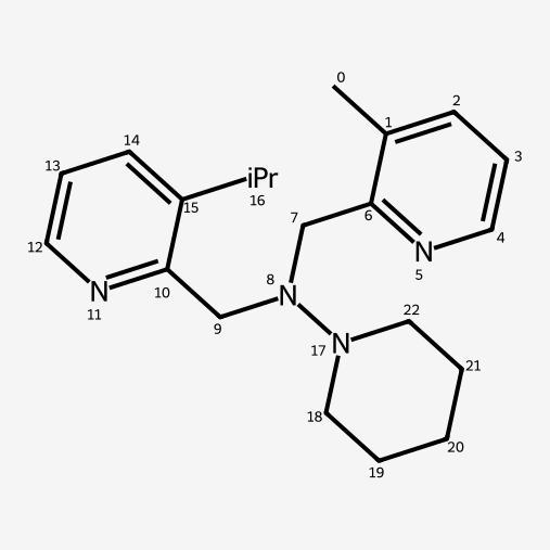 Cc1cccnc1CN(Cc1ncccc1C(C)C)N1CCCCC1